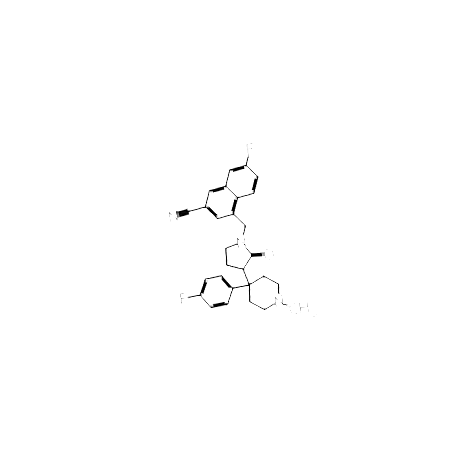 CN1CCC(c2ccc(F)cc2)(C2CCN(Cc3cc(C#N)cc4cc(F)ccc34)C2=O)CC1